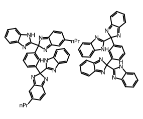 CCCc1ccc2c(c1)=NC(c1cccc(C3(c4nc5ccccc5[nH]4)N=c4ccc(CCC)cc4=N3)c1)(c1nc3ccccc3[nH]1)N=2.c1cc(C2(c3nc4ccccc4[nH]3)N=c3ccccc3=N2)cc(C2(c3nc4ccccc4[nH]3)N=c3ccccc3=N2)c1